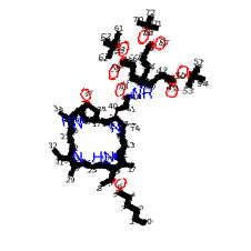 CCCCCCOC(C)c1c(C)c2cc3nc(c4c5[nH]c(cc6nc(cc1[nH]2)C(C)=C6CC)c(C)c5C(=O)C4)[C@@H](CCC(=O)NC(CCC(=O)OC(C)(C)C)(CCC(=O)OC(C)(C)C)CCC(=O)OC(C)(C)C)[C@@H]3C